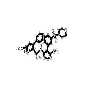 Cc1cc(-c2ccccc2)c(C(C)Nc2ncnc(N)c2-c2cccc(S(=O)(=O)N3CCOCC3)c2)[nH]1